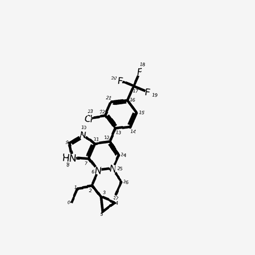 CCC(C1CC1)N1c2[nH]cnc2C(c2ccc(C(F)(F)F)cc2Cl)=CN1CC